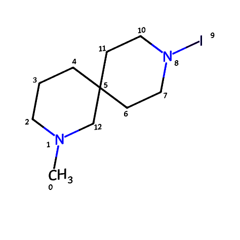 CN1CCCC2(CCN(I)CC2)C1